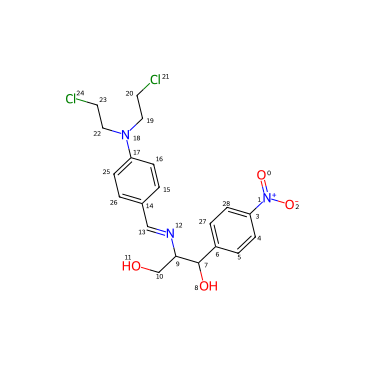 O=[N+]([O-])c1ccc(C(O)C(CO)/N=C/c2ccc(N(CCCl)CCCl)cc2)cc1